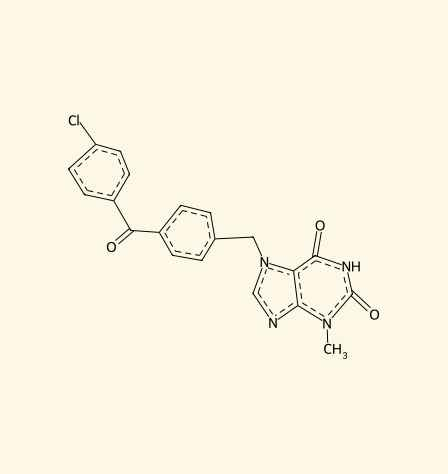 Cn1c(=O)[nH]c(=O)c2c1ncn2Cc1ccc(C(=O)c2ccc(Cl)cc2)cc1